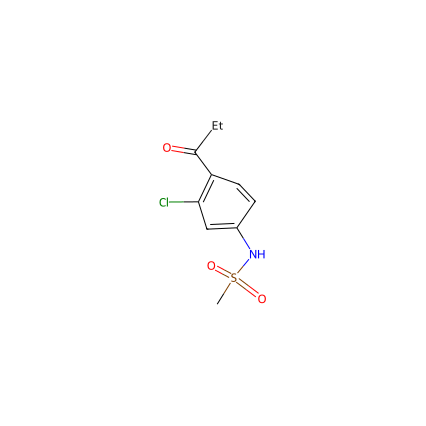 CCC(=O)c1ccc(NS(C)(=O)=O)cc1Cl